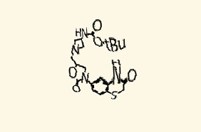 CC(C)(C)OC(=O)NC1CN(CC2CN(c3ccc4c(c3)NC(=O)CS4)C(=O)O2)C1